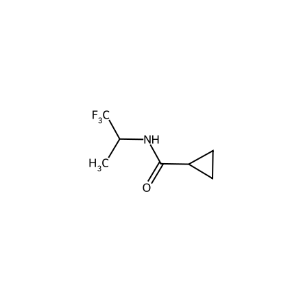 CC(NC(=O)C1CC1)C(F)(F)F